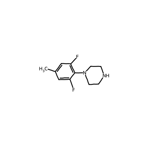 Cc1cc(F)c(N2CCNCC2)c(F)c1